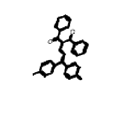 Cc1ccc(C(=CCC(C(=O)c2ccccc2)C(=O)c2ccccc2)c2ccc(C)cc2)cc1